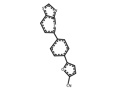 N#Cc1ccc(-c2ccc(-c3ccc4scnc4c3)cc2)o1